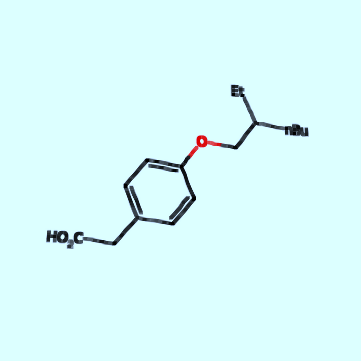 CCCCC(CC)COc1ccc(CC(=O)O)cc1